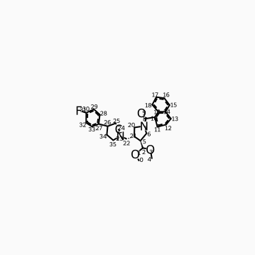 COC(OC)[C@@H]1CN(C(=O)c2cccc3ccccc23)C[C@H]1CN1CCC(c2ccc(F)cc2)CC1